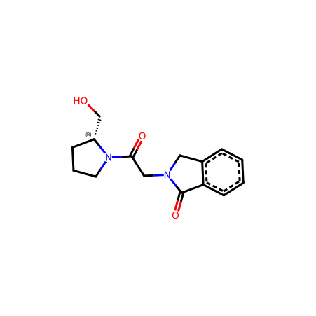 O=C1c2ccccc2CN1CC(=O)N1CCC[C@@H]1CO